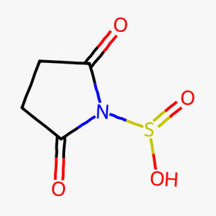 O=C1CCC(=O)N1S(=O)O